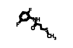 CSCCC(=O)Nc1cc(F)ccc1F